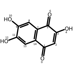 O=C1C=C(O)C(=O)c2cc(O)c(O)cc21